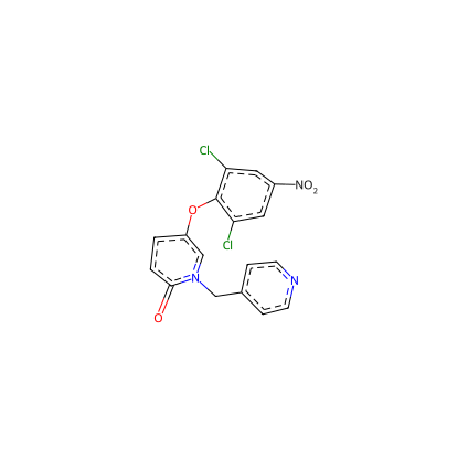 O=c1ccc(Oc2c(Cl)cc([N+](=O)[O-])cc2Cl)cn1Cc1ccncc1